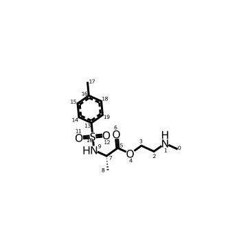 CNCCOC(=O)[C@H](C)NS(=O)(=O)c1ccc(C)cc1